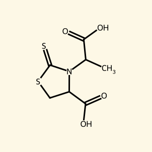 CC(C(=O)O)N1C(=S)SCC1C(=O)O